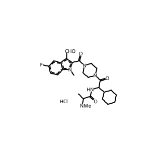 CNC(C)C(=O)NC(C(=O)N1CCN(C(=O)c2c(C=O)c3cc(F)ccc3n2C)CC1)C1CCCCC1.Cl